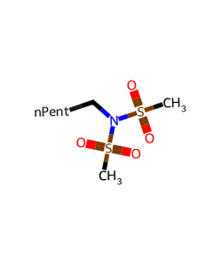 CCCCCCN(S(C)(=O)=O)S(C)(=O)=O